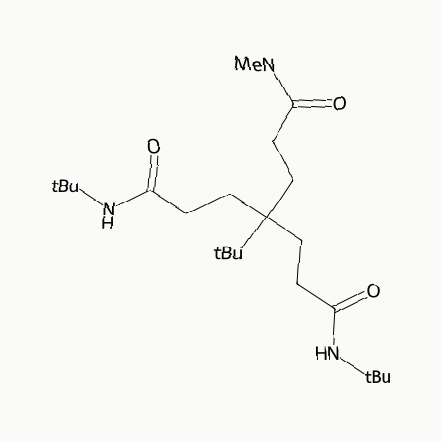 CNC(=O)CCC(CCC(=O)NC(C)(C)C)(CCC(=O)NC(C)(C)C)C(C)(C)C